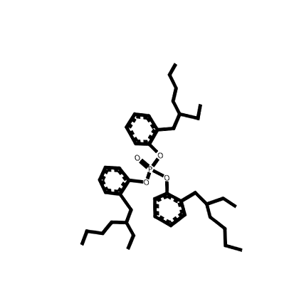 CCCCC(CC)Cc1ccccc1OP(=O)(Oc1ccccc1CC(CC)CCCC)Oc1ccccc1CC(CC)CCCC